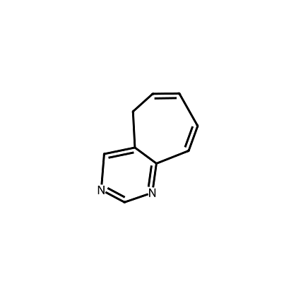 C1=CCc2cncnc2C=C1